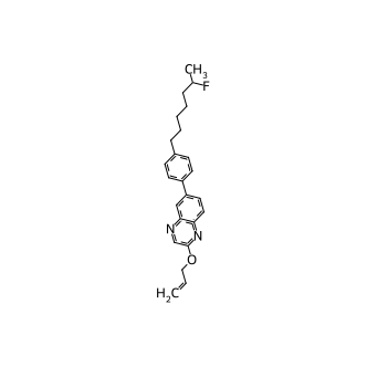 C=CCOc1cnc2cc(-c3ccc(CCCCCC(C)F)cc3)ccc2n1